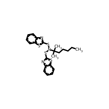 CCCCCC(C)(C)N(Sc1nc2ccccc2s1)Sc1nc2ccccc2s1